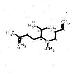 C=CCCN(C)C(CCC(=C)C)C(C)C